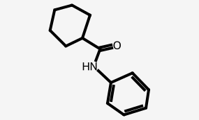 O=C(Nc1ccccc1)C1CCCCC1